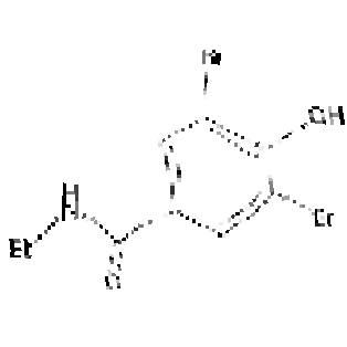 CCNC(=O)c1cc(Br)c(O)c(Br)c1